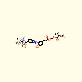 C=C(C)C(=O)OCCOC(=O)CCc1ccc(O)c(-n2n3c4ccc(C(=O)NC(C)(C)C)cc4n23)c1